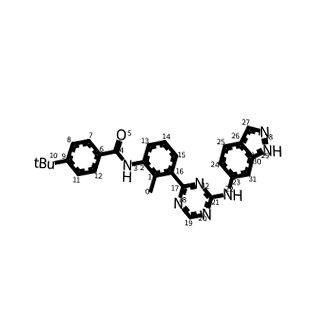 Cc1c(NC(=O)c2ccc(C(C)(C)C)cc2)cccc1-c1ncnc(Nc2ccc3cn[nH]c3c2)n1